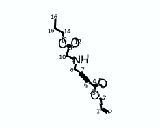 C=CCOC(=O)C#CCNCC(=O)OCCC